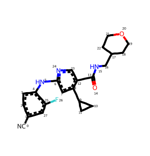 N#Cc1ccc(Nc2cc(C3CC3)c(C(=O)NCC3CCOCC3)cn2)c(F)c1